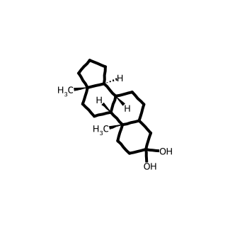 C[C@@]12CCC[C@H]1[C@@H]1CCC3CC(O)(O)CC[C@]3(C)[C@@H]1CC2